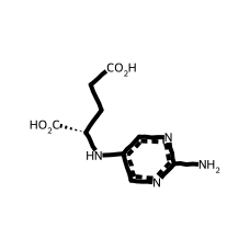 Nc1ncc(N[C@@H](CCC(=O)O)C(=O)O)cn1